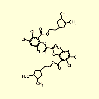 CC1CC(CCOC(=O)c2c(Cl)c(Cl)cc(Cl)c2OC(=O)C(=O)Oc2c(Cl)cc(Cl)c(Cl)c2C(=O)OCCC2CC(C)C(C)C2)CC1C